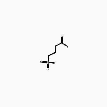 O=C(F)CCCS(=O)(=O)F